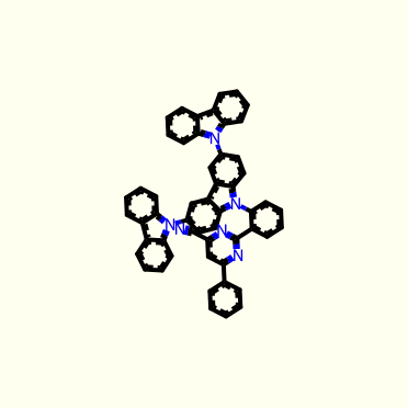 N#Cc1cc(-c2ccccc2)nc(-c2ccccc2-n2c3ccc(-n4c5ccccc5c5ccccc54)cc3c3cc(-n4c5ccccc5c5ccccc54)ccc32)n1